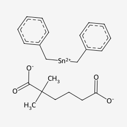 CC(C)(CCCC(=O)[O-])C(=O)[O-].c1ccc([CH2][Sn+2][CH2]c2ccccc2)cc1